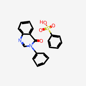 O=S(=O)(O)c1ccccc1.O=c1c2ccccc2ncn1-c1ccccc1